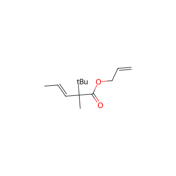 C=CCOC(=O)C(C)(/C=C/C)C(C)(C)C